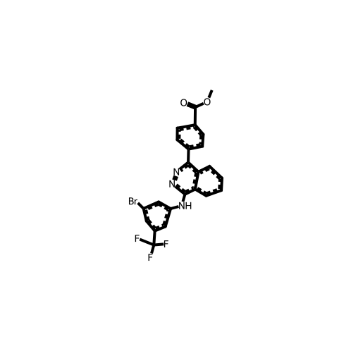 COC(=O)c1ccc(-c2nnc(Nc3cc(Br)cc(C(F)(F)F)c3)c3ccccc23)cc1